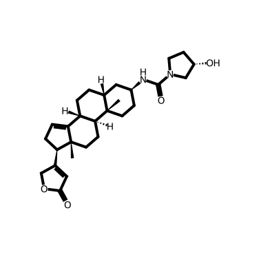 C[C@]12CC[C@H](NC(=O)N3CC[C@H](O)C3)C[C@H]1CC[C@H]1C3=CC[C@H](C4=CC(=O)OC4)[C@@]3(C)CC[C@@H]12